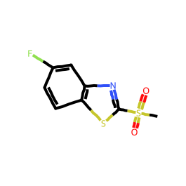 CS(=O)(=O)c1nc2cc(F)ccc2s1